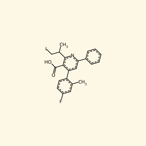 Cc1cc(F)ccc1-c1cc(-c2ccccc2)nc(C(C)CI)c1C(=O)O